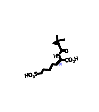 CC1(C)CC1C(=O)N/C(=C\CCCCS(=O)(=O)O)C(=O)O